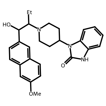 CCC(C(O)c1ccc2cc(OC)ccc2c1)N1CCC(n2c(=O)[nH]c3ccccc32)CC1